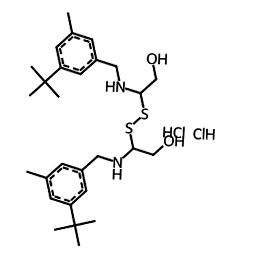 Cc1cc(CNC(CO)SSC(CO)NCc2cc(C)cc(C(C)(C)C)c2)cc(C(C)(C)C)c1.Cl.Cl